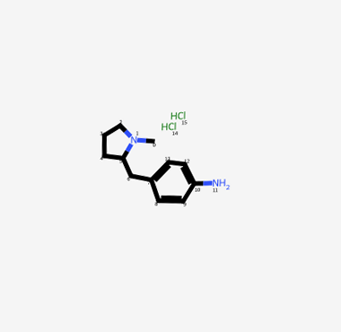 CN1CCCC1Cc1ccc(N)cc1.Cl.Cl